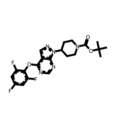 CC(C)(C)OC(=O)N1CCC(n2ncc3c(Oc4c(F)cc(F)cc4F)ncnc32)CC1